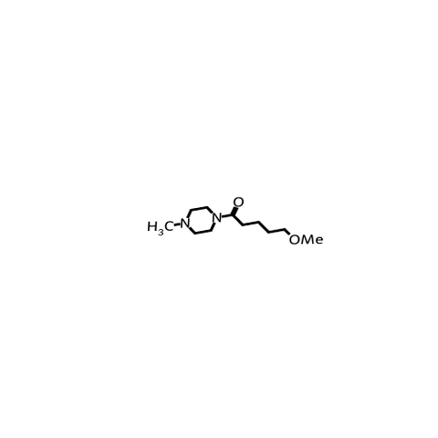 COCCCCC(=O)N1CCN(C)CC1